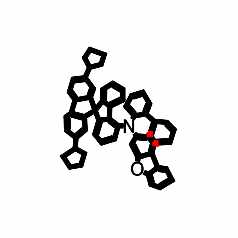 c1ccc(-c2ccccc2N(c2ccc3c(c2)oc2ccccc23)c2cccc3c2-c2ccccc2C32c3cc(C4CCCC4)ccc3-c3ccc(C4CCCC4)cc32)cc1